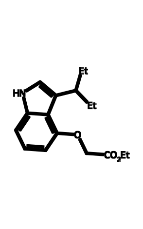 CCOC(=O)COc1cccc2[nH]cc(C(CC)CC)c12